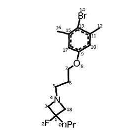 CCCC1(F)CN(CCCOc2cc(C)c(Br)c(C)c2)C1